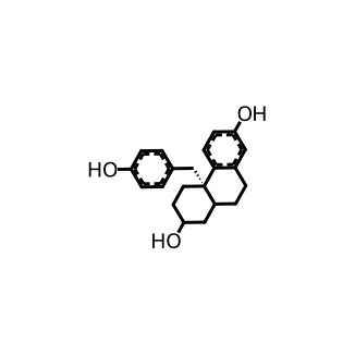 Oc1ccc(C[C@@]23CCC(O)CC2CCc2cc(O)ccc23)cc1